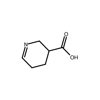 O=C(O)C1CCC=NC1